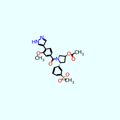 COc1cc(C(=O)N2CC(OC(C)=O)C[C@@H]2c2cccc(S(C)(=O)=O)c2)ccc1-c1cn[nH]c1